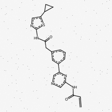 C=CC(=O)Nc1cncc(-c2cccc(CC(=O)Nc3ncc(C4CC4)s3)c2)n1